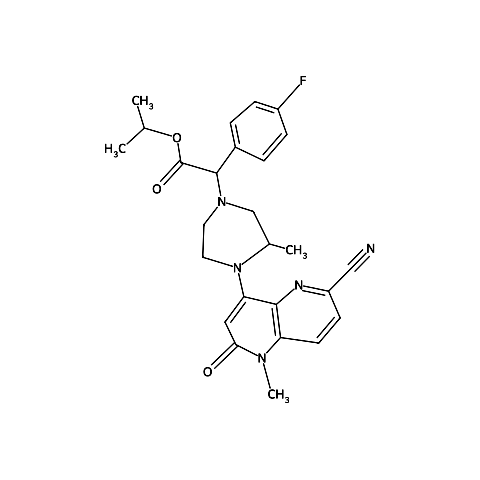 CC(C)OC(=O)C(c1ccc(F)cc1)N1CCN(c2cc(=O)n(C)c3ccc(C#N)nc23)C(C)C1